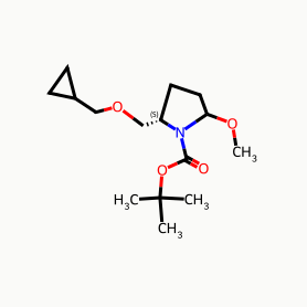 COC1CC[C@@H](COCC2CC2)N1C(=O)OC(C)(C)C